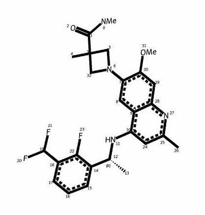 CNC(=O)C1(C)CN(c2cc3c(N[C@H](C)c4cccc(C(F)F)c4F)cc(C)nc3cc2OC)C1